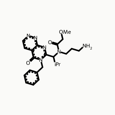 COCC(=O)N(CCCN)C(c1nc2nnccc2c(=O)n1Cc1ccccc1)C(C)C